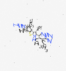 Cc1c(-c2[nH]c3sc([C@H]4C[C@@H]5C[C@H]4CN5)c(C)c3c2C(C)C)cn2ncnc2c1C